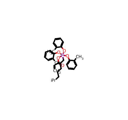 C=CC(=O)OP(CCCCCC(C)C)(Oc1ccccc1C)(Oc1ccccc1C)Oc1ccccc1C